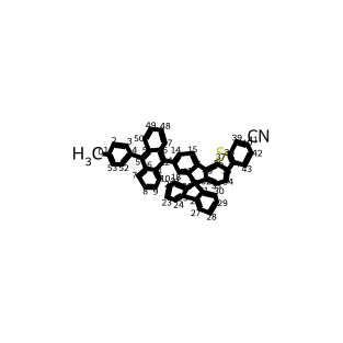 Cc1ccc(-c2c3ccccc3c(-c3ccc4c(c3)C3(c5ccccc5-c5ccccc53)c3ccc5c(sc6cc(C#N)ccc65)c3-4)c3ccccc23)cc1